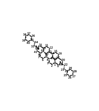 C1=c2ccc3c4ccc5c6c(ccc(c7ccc(c2c37)=CN1CCc1ccccc1)c64)=CN(CCc1ccccc1)C=5